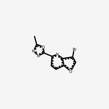 Cc1nnc(-c2ccc3occ(Br)c3n2)o1